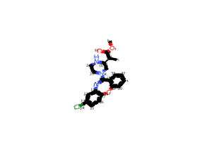 COC(=O)C(C)[C@H]1CN(C2=Nc3cc(Cl)ccc3Oc3ccccc32)CCN1